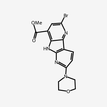 COC(=O)c1cc(Br)nc2c1[nH]c1nc(N3CCOCC3)ccc12